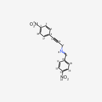 O=[N+]([O-])c1ccc(C#CC/N=C/c2ccc([N+](=O)[O-])cc2)cc1